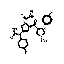 CCNC(=O)[C@@H]1C[C@H](N(C(=O)C(C)(C)C)C2CCC(F)CC2)CN1C(=O)[C@@H]1CN(C(C)(C)C)C[C@H]1c1ccc(Cl)cc1